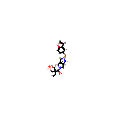 CCC(CO)(CO)C(=O)N1CC2=C(CN(Sc3ccc4occc4c3)C2)C1